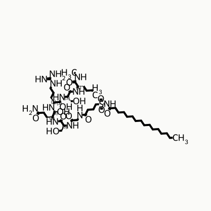 CCCCCCCCCCCCCCCC(=O)NS(=O)(=O)CCCC(=O)NCC(=O)N[C@@H](CO)C(=O)N[C@@H](CCC(N)=O)[C@H](O)N[C@@H](CCCNC(=N)N)[C@H](O)N[C@@H](CO)C(=O)N[C@@H](CCCC)C(=O)NC